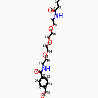 O=CCCC(=O)NCCOCCOCCOCCNC(=O)c1ccc(C=O)cc1